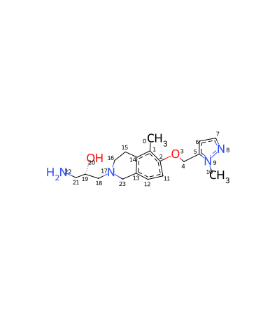 Cc1c(OCc2ccnn2C)ccc2c1CCN(C[C@@H](O)CN)C2